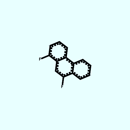 Fc1[c]ccc2c1cc(F)c1c[c]ccc12